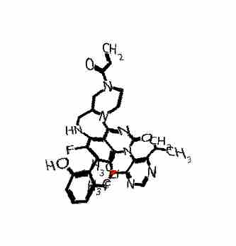 C=CC(=O)N1CCN2c3nc(=O)n(-c4c(C(C)C)ncnc4C(C)C)c4c(Cl)c(-c5c(O)cccc5F)c(F)c(c34)NCC2C1